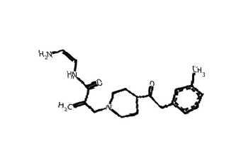 C=C(CN1CCC(C(=O)Cc2cccc(C)c2)CC1)C(=O)N/C=C\N